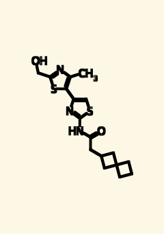 Cc1nc(CO)sc1-c1csc(NC(=O)CC2CC3(CCC3)C2)n1